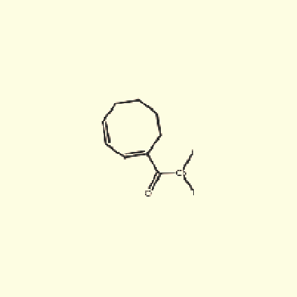 O=[C](C1=CC=CCCCC1)[Co]([I])[I]